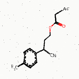 CC(=O)CC(=O)OCCC(C#N)c1ccc(C(F)(F)F)cc1